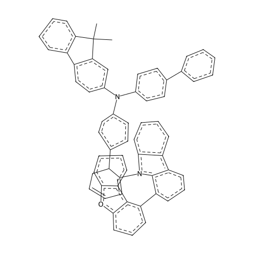 CC1(C)c2ccccc2-c2ccc(N(c3ccc(-c4ccccc4)cc3)c3ccc(C4CC=CC=C4n4c5ccccc5c5cccc(-c6cccc7oc8ccccc8c67)c54)cc3)cc21